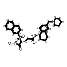 COC(=O)[C@@H](CCC(=O)N[C@@H]1CCCc2cc(CN3CCCCC3)ccc21)S(=O)(=O)c1ccc2ccccc2c1